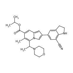 Cc1c(C(=O)OC(C)C)cc2cc(-c3cc(C#N)c4c(c3)CCN4)cn2c1C(C)N1CCOCC1